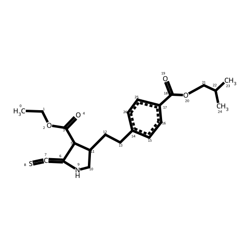 CCOC(=O)C1C(=C=S)NCC1CCc1ccc(C(=O)OCC(C)C)cc1